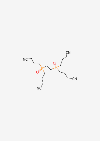 N#CCCCP(=O)(CCCC#N)CCP(=O)(CCCC#N)CCCC#N